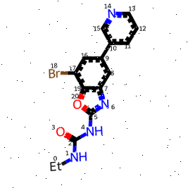 CCNC(=O)Nc1nc2cc(-c3cccnc3)cc(Br)c2o1